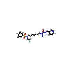 O=C(NCCCCCCCN(CCF)S(=O)(=O)C1CCCCC1)NCc1cccnc1